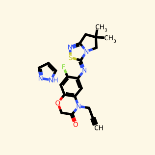 C#CCN1C(=O)COc2cc(F)c(/N=c3\snc4n3CC(C)(C)C4)cc21.c1cn[nH]c1